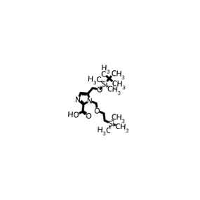 CC(C)(C)[Si](C)(C)OCc1cnc(C(=O)O)n1COCC[Si](C)(C)C